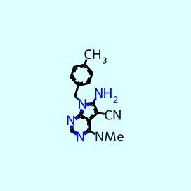 CNc1ncnc2c1c(C#N)c(N)n2Cc1ccc(C)cc1